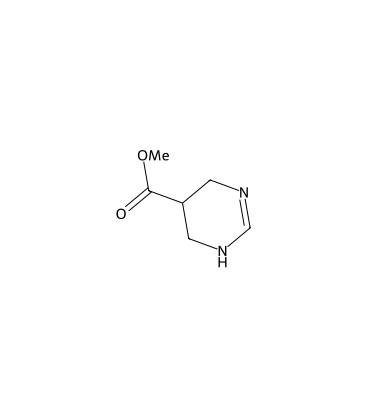 COC(=O)C1CN=CNC1